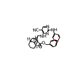 N#Cc1cnc(Nc2ccccc2)nc1NCC1C[C@H]2CCC[C@@H](C1)[C@@H]2NC(=O)OCc1ccccc1